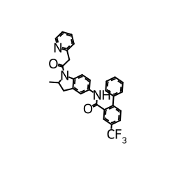 CC1Cc2cc(NC(=O)c3cc(C(F)(F)F)ccc3-c3ccccc3)ccc2N1C(=O)Cc1ccccn1